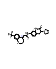 O=C(/C=C1\CCCOc2cc(C(F)(F)F)ccc21)Nc1ccc2c(c1)NC(=O)C(N1CCCC1)C2